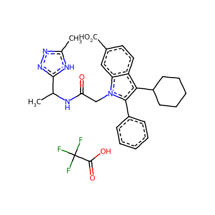 Cc1nnc(C(C)NC(=O)Cn2c(-c3ccccc3)c(C3CCCCC3)c3ccc(C(=O)O)cc32)[nH]1.O=C(O)C(F)(F)F